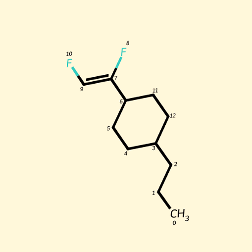 CCCC1CCC(/C(F)=C/F)CC1